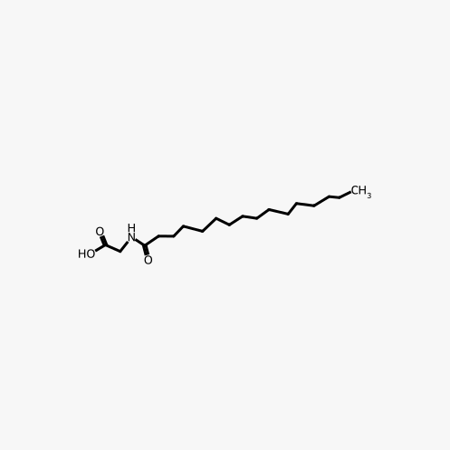 CCCCCCCCCCCCCCCC(=O)NCC(=O)O